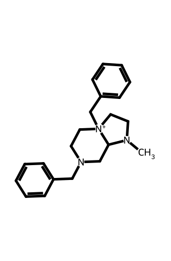 CN1CC[N+]2(Cc3ccccc3)CCN(Cc3ccccc3)CC12